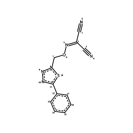 N#CC(C#N)=NOCc1nnc(-c2ccccc2)s1